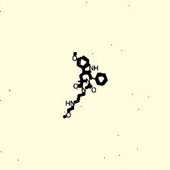 COCCNCCCN1C(=O)N2[C@H](c3ccccc3)c3[nH]c4ccc(OC)cc4c3C[C@@]2(C)C1=O